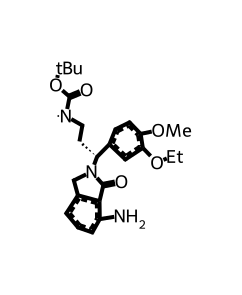 CCOc1cc([C@@H](CC[N]C(=O)OC(C)(C)C)N2Cc3cccc(N)c3C2=O)ccc1OC